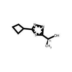 C[C@H](O)c1nnc(C2CCC2)s1